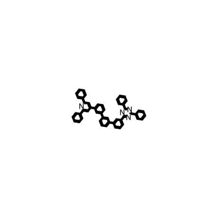 c1ccc(-c2cc(-c3cccc(-c4cccc(-c5cccc(-c6nc(-c7ccccc7)nc(-c7ccccc7)n6)c5)c4)c3)cc(-c3ccccc3)n2)cc1